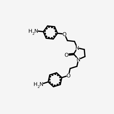 Nc1ccc(OCCN2CCN(CCOc3ccc(N)cc3)C2=O)cc1